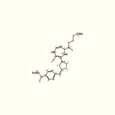 COCCCN(C)C1N=CNC(F)=C(N2CC[C@@H](Oc3ccc(C(C)NC(C)=O)cc3)C2)N1